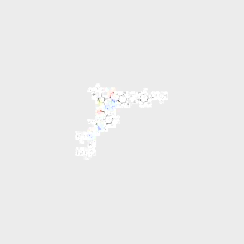 CN(CCCC(=O)O)CCN(Cc1cccc(C(=O)Nc2sc3c(c2C(=O)Nc2ccc(CCc4ccc(C(=O)O)cc4)cc2)CCCC3)c1)C1CC1